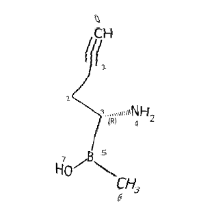 C#CC[C@H](N)B(C)O